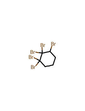 BrC1CCCC(Br)(Br)C1(Br)Br